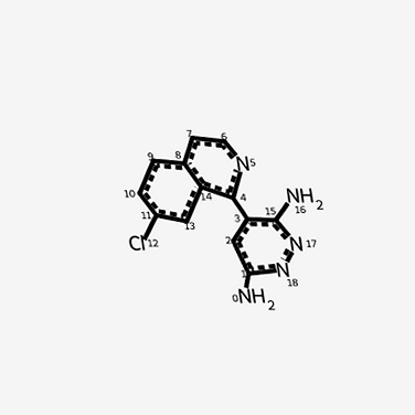 Nc1cc(-c2nccc3ccc(Cl)cc23)c(N)nn1